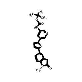 CN1C(=O)Cc2cc(-c3ccc(-c4cncc(NC(=O)OC(C)(C)C)c4)s3)ccc21